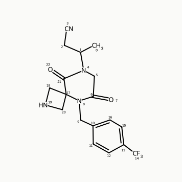 CC(CC#N)N1CC(=O)N(Cc2ccc(C(F)(F)F)cc2)C2(CNC2)C1=O